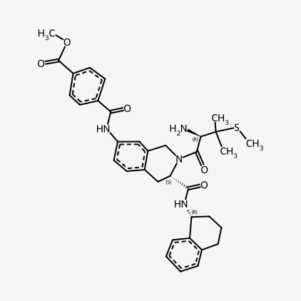 COC(=O)c1ccc(C(=O)Nc2ccc3c(c2)CN(C(=O)[C@@H](N)C(C)(C)SC)[C@H](C(=O)N[C@@H]2CCCc4ccccc42)C3)cc1